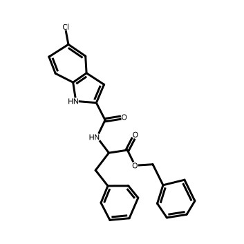 O=C(NC(Cc1ccccc1)C(=O)OCc1ccccc1)c1cc2cc(Cl)ccc2[nH]1